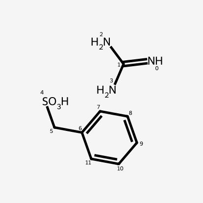 N=C(N)N.O=S(=O)(O)Cc1ccccc1